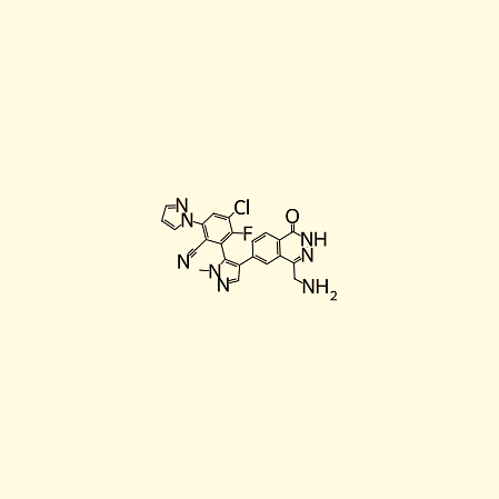 Cn1ncc(-c2ccc3c(=O)[nH]nc(CN)c3c2)c1-c1c(F)c(Cl)cc(-n2cccn2)c1C#N